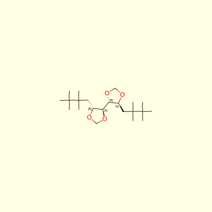 CC(C)(C)C(C)(C)C[C@@H]1OCO[C@H]1[C@H]1OCO[C@@H]1CC(C)(C)C(C)(C)C